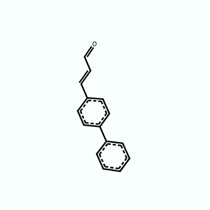 O=CC=Cc1ccc(-c2ccccc2)cc1